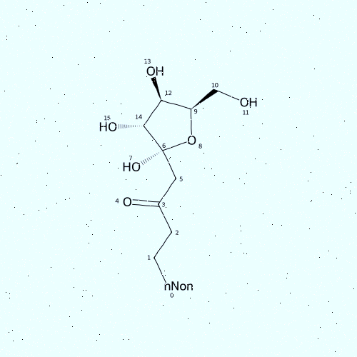 CCCCCCCCCCCC(=O)C[C@]1(O)O[C@H](CO)[C@H](O)[C@H]1O